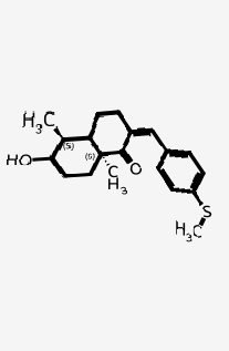 CSc1ccc(C=C2CCC3[C@H](C)C(O)CC[C@]3(C)C2=O)cc1